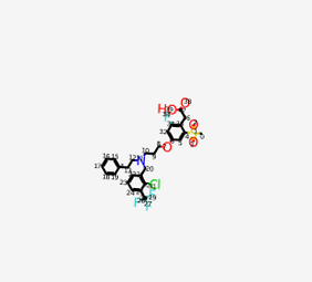 CS(=O)(=O)c1cc(OCCCN(CCc2ccccc2)Cc2cccc(C(F)(F)F)c2Cl)cc(F)c1CC(=O)O